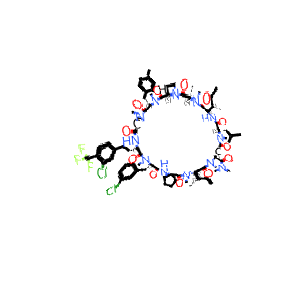 CC[C@H](C)[C@@H]1NC(=O)[C@H](CC(C)C)N(C)C(=O)C[C@@H](C(=O)N(C)C)N(C)C(=O)[C@H]([C@@H](C)CC)N(C)C(=O)C2(CCCC2)NC(=O)[C@H](Cc2cccc(Cl)c2)N(C)C(=O)[C@H](CCc2ccc(C(F)(F)F)c(Cl)c2)NC(=O)CN(C)C(=O)[C@H](Cc2ccc(C)cc2)N(C)C(=O)[C@@H]2CCN2C(=O)[C@H](C)N(C)C1=O